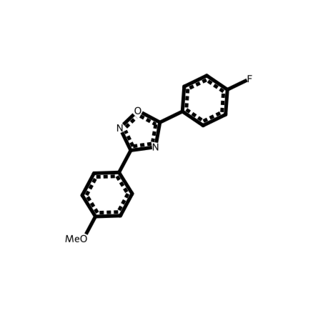 COc1ccc(-c2noc(-c3ccc(F)cc3)n2)cc1